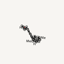 COc1cc(N2CCN(C3CCN(C4CN(c5ccc6c(c5)C(=O)N(C5CCC(=O)NC5=O)C6=O)C4)CC3)CC2)c(-c2cnn(C)c2)cc1Nc1ncc(Br)c(Nc2ccc(C)c(C)c2P(=O)(OC)OC)n1